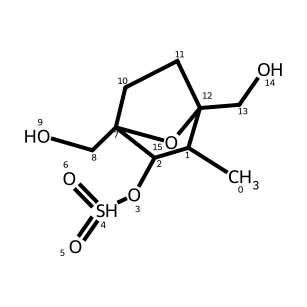 CC1C(O[SH](=O)=O)C2(CO)CCC1(CO)O2